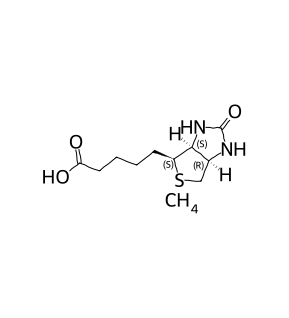 C.O=C(O)CCCC[C@@H]1SC[C@@H]2NC(=O)N[C@@H]21